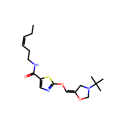 CC/C=C\CCNC(=O)c1cnc(OC=C2CN(C(C)(C)C)CO2)s1